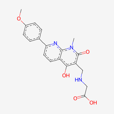 COc1ccc(-c2ccc3c(O)c(CNCC(=O)O)c(=O)n(C)c3n2)cc1